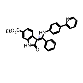 CCOC(=O)c1ccc2c(c1)NC(=O)/C2=C(/Nc1ccc(-c2ccccn2)cc1)c1ccccc1